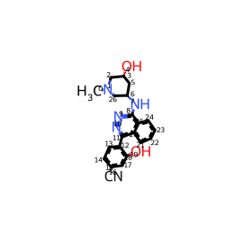 CN1C[C@@H](O)C[C@@H](Nc2nnc(-c3ccc(C#N)cc3O)c3ccccc23)C1